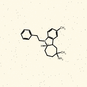 Cc1ccc2c(c1)C1CC(C)(N)CCC[C@@H]1N2CCc1ccccc1